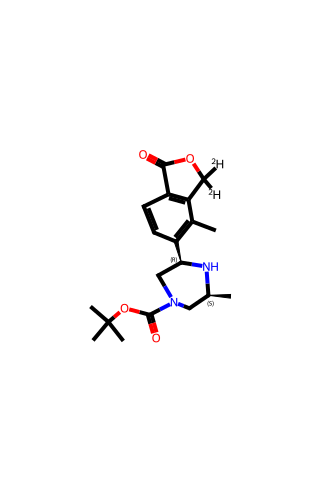 [2H]C1([2H])OC(=O)c2ccc([C@@H]3CN(C(=O)OC(C)(C)C)C[C@H](C)N3)c(C)c21